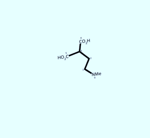 CNCCC(C(=O)O)C(=O)O